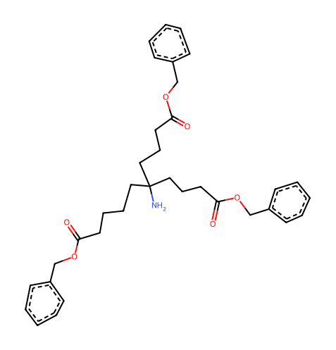 NC(CCCCC(=O)OCc1ccccc1)(CCCC(=O)OCc1ccccc1)CCCC(=O)OCc1ccccc1